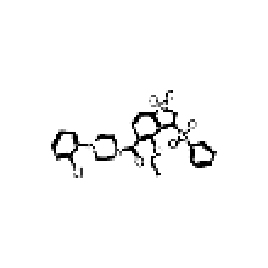 CCOc1c(C(=O)N2CCN(c3ccccc3Cl)CC2)ccc2c1C(S(=O)(=O)c1ccccc1)CS2(=O)=O